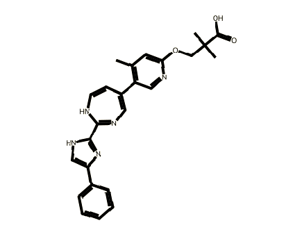 Cc1cc(OCC(C)(C)C(=O)O)ncc1C1=CN=C(c2nc(-c3ccccc3)c[nH]2)NC=C1